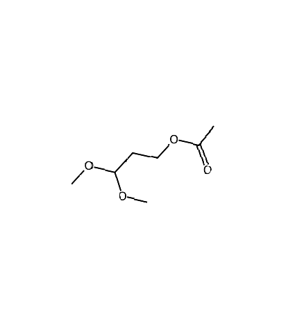 COC(CCOC(C)=O)OC